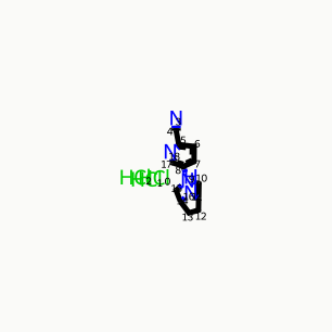 Cl.Cl.Cl.N#Cc1ccc(N2CC3CCC(C2)N3)cn1